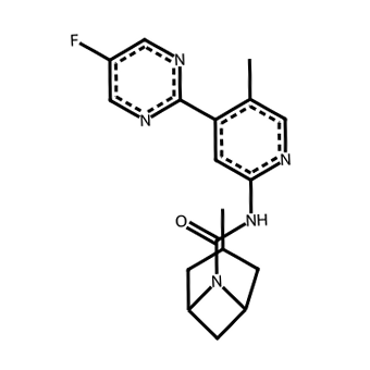 Cc1cnc(NC(=O)N2C3CC(C)CC2C3)cc1-c1ncc(F)cn1